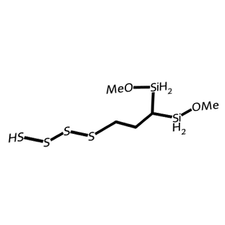 CO[SiH2]C(CCSSSS)[SiH2]OC